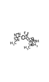 Cc1nc2c(-c3ccc(OCC(C)(CC(C)C)NC(=O)O)c(C(F)(F)F)c3)ncnc2s1